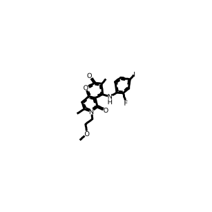 COCCn1c(C)cc2oc(=O)c(C)c(Nc3ccc(I)cc3F)c2c1=O